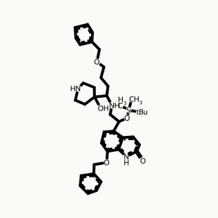 CC(C)(C)[Si](C)(C)OC(CNC(CCCOCc1ccccc1)C1(O)CCNCC1)c1ccc(OCc2ccccc2)c2[nH]c(=O)ccc12